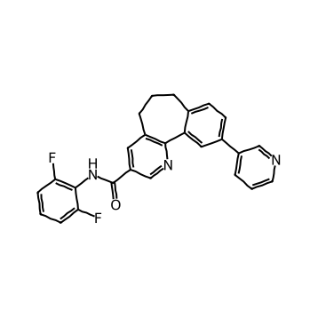 O=C(Nc1c(F)cccc1F)c1cnc2c(c1)CCCc1ccc(-c3cccnc3)cc1-2